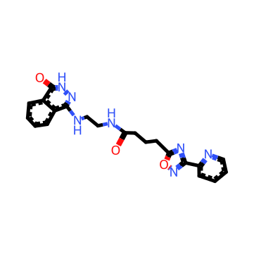 O=C(CCCc1nc(-c2ccccn2)no1)NCCNc1n[nH]c(=O)c2ccccc12